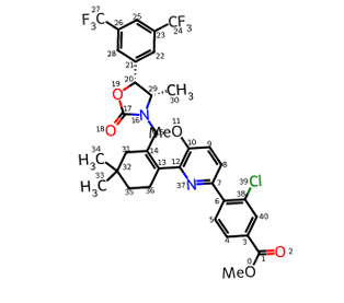 COC(=O)c1ccc(-c2ccc(OC)c(C3=C(CN4C(=O)O[C@H](c5cc(C(F)(F)F)cc(C(F)(F)F)c5)[C@@H]4C)CC(C)(C)CC3)n2)c(Cl)c1